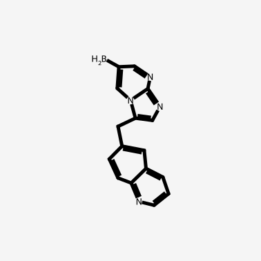 Bc1cnc2ncc(Cc3ccc4ncccc4c3)n2c1